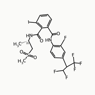 C[C@@H](CS(C)(=O)=O)NC(=O)c1c(I)cccc1C(=O)Nc1ccc(C(C(F)F)C(F)(F)F)cc1F